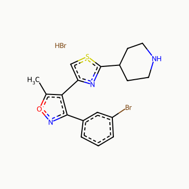 Br.Cc1onc(-c2cccc(Br)c2)c1-c1csc(C2CCNCC2)n1